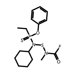 CCP(=S)(Oc1ccccc1)N(SN(C)C(=O)F)C1CCCCC1